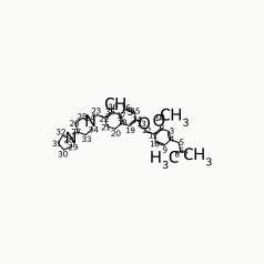 COc1cc(CC(C)C)ccc1COc1ccc2c(c1)CCC(CN1CCC(N3CCCC3)CC1)=C2C